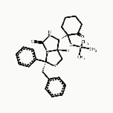 C[Si](C)(C)OC1([C@H]2NC(=O)N3[C@H]2CS[C@@]3(Cc2ccccc2)c2ccccc2)CCCCC1=O